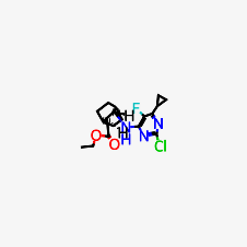 CCOC(=O)[C@H]1C2CCC(CC2)[C@@H]1Nc1nc(Cl)nc(C2CC2)c1F